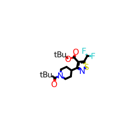 CC(C)(C)OC(=O)c1c(C2CCN(C(=O)C(C)(C)C)CC2)nsc1C(F)F